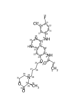 C=CC(=O)Nc1cc2c(Nc3ccc(F)c(Cl)c3)ncnc2cc1OCCCCN1CCOC(=O)[C@@H]1C